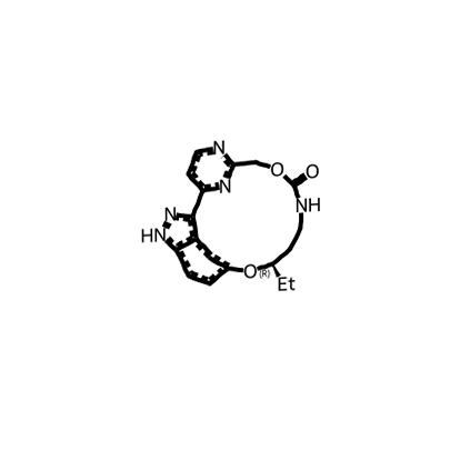 CC[C@@H]1CCNC(=O)OCc2nccc(n2)-c2n[nH]c3ccc(cc23)O1